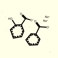 O=C([O-])c1ccccc1.O=C([O-])c1ccccc1O.[Na+].[Na+]